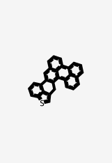 c1cc2c3c(csc3c1)Cc1c-2cc2cccc3c4cccc5cccc(c1c23)c54